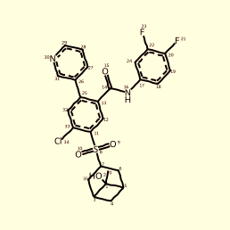 CC1(O)C2CC1CC(S(=O)(=O)c1cc(C(=O)Nc3ccc(F)c(F)c3)c(-c3cccnc3)cc1Cl)C2